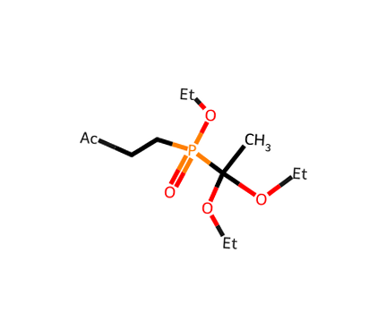 CCOC(C)(OCC)P(=O)(CCC(C)=O)OCC